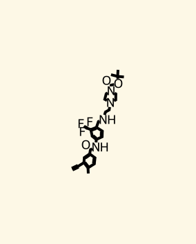 C#Cc1cc(C(=O)Nc2ccc(CNCCN3CCN(C(=O)OC(C)(C)C)CC3)c(C(F)(F)F)c2)ccc1C